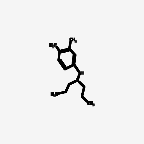 CCCN(CCC)Nc1ccc(C)c(C)c1